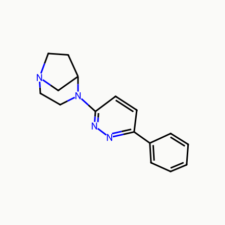 c1ccc(-c2ccc(N3CCN4CCC3C4)nn2)cc1